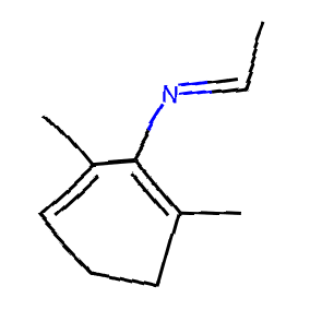 CC=NC1=C(C)CCC=C1C